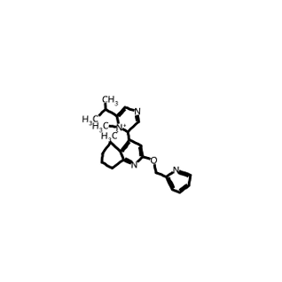 CC(C)C1=CN=CC(c2cc(OCc3ccccn3)nc3c2CCCC3)[N+]1(C)C